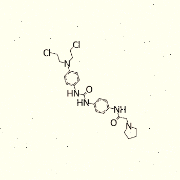 O=C(CN1CCCC1)Nc1ccc(NC(=O)Nc2ccc(N(CCCl)CCCl)cc2)cc1